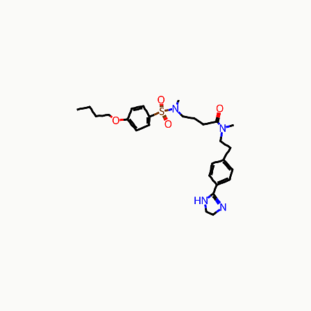 CCCCOc1ccc(S(=O)(=O)N(C)CCCC(=O)N(C)CCc2ccc(C3=NCCN3)cc2)cc1